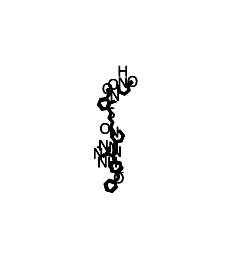 Nc1ncnc2c1c(-c1ccc(Oc3ccccc3)cc1)nn2C1CCCN(C(=O)CCSc2cccc3c2CN(C2CCC(=O)NC2=O)C3=O)C1